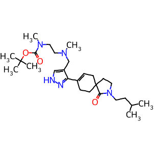 CC(C)CCN1CCC2(CC=C(c3n[nH]cc3CN(C)CCN(C)C(=O)OC(C)(C)C)CC2)C1=O